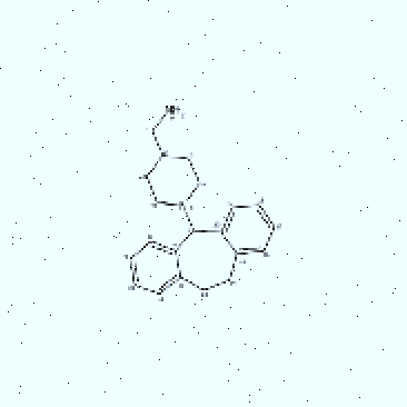 NCC1CCN(C2c3ccccc3CCc3ccccc32)CC1